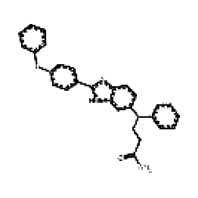 NC(=O)CCC(c1ccccc1)c1ccc2nc(-c3ccc(Oc4ccccc4)cc3)[nH]c2c1